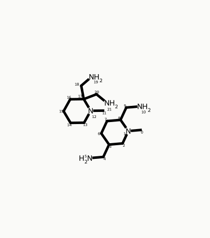 CN1CC(CN)CCC1CN.CN1CCCCC1(CN)CN